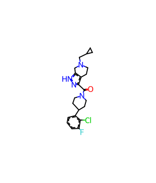 O=C(c1n[nH]c2c1CCN(CC1CC1)C2)N1CCC(c2cccc(F)c2Cl)CC1